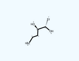 CCCCCC[C@@H](O)[C@@H](O)CC